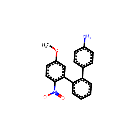 COc1ccc([N+](=O)[O-])c(-c2ccccc2-c2ccc(N)cc2)c1